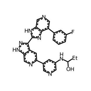 CCC(O)Nc1cncc(-c2cc3c(-c4nc5c(-c6cccc(F)c6)cncc5[nH]4)n[nH]c3cn2)c1